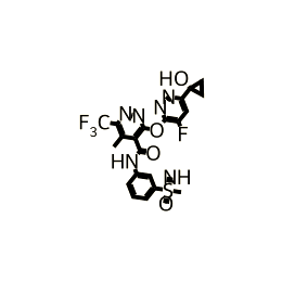 Cc1c(C(F)(F)F)nnc(Oc2nnc(C3(O)CC3)cc2F)c1C(=O)Nc1cccc(S(C)(=N)=O)c1